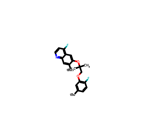 CC(C)(COc1cc(C(C)(C)C)ccc1F)Oc1cc2c(F)ccnc2cc1C(C)(C)C